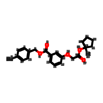 CCC(C)c1ccc(COC(=O)c2cccc(OCC(=O)OC3(CC)CCCC3)c2)cc1